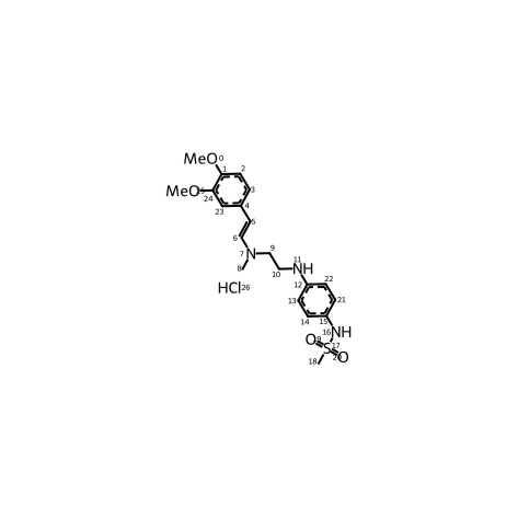 COc1ccc(C=CN(C)CCNc2ccc(NS(C)(=O)=O)cc2)cc1OC.Cl